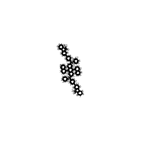 CC1(C)C2=C(CCC=C2)c2ccc(-c3ccc(N(c4ccccc4)c4ccc5c(-c6cccc7ccccc67)c6cc(N(c7ccccc7)c7ccc(-c8ccc9c(c8)C(C)(C)c8ccccc8-9)cc7)ccc6c(-c6cccc7ccccc67)c5c4)cc3)cc21